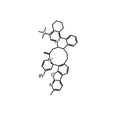 C=C1CC2C(CCc3ccc4c(oc5nc(C)ccc54)c3-c3cc(C(C)C)cc[n+]31)c1ccccc1-c1c3c(c([Si](C)(C)C)c[n+]12)CCCC3